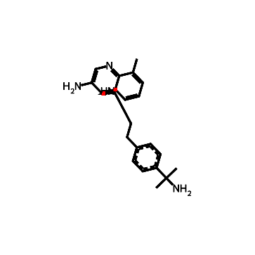 CC1=CC=CC23NC(CCc4ccc(C(C)(C)N)cc4)=CC=C2C(N)=CN=C13